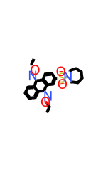 CCO/N=C1/c2ccccc2/C(=N\OCC)c2cc(S(=O)(=O)N3CCCCCC3)ccc21